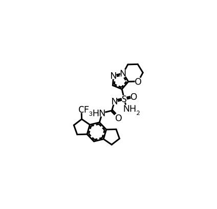 NS(=O)(=NC(=O)Nc1c2c(cc3c1C(C(F)(F)F)CC3)CCC2)c1cnn2c1OCCC2